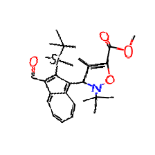 COC(=O)C1=C(C)C(c2c3cccccc-3c(C=O)c2[Si](C)(C)C(C)(C)C)N(C(C)(C)C)O1